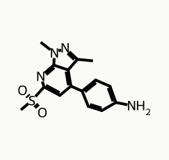 Cc1nn(C)c2nc(S(C)(=O)=O)cc(-c3ccc(N)cc3)c12